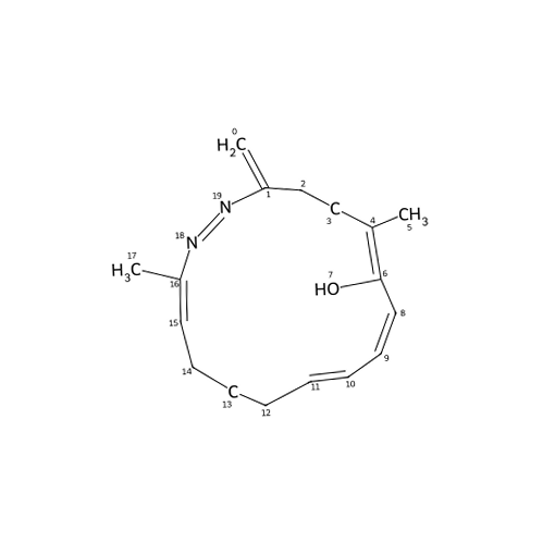 C=C1CC/C(C)=C(O)/C=C\C=C\CCC/C=C(C)\N=N/1